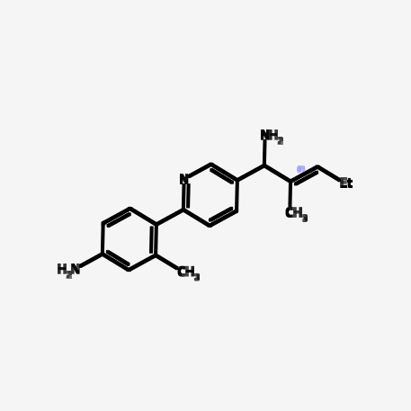 CC/C=C(\C)C(N)c1ccc(-c2ccc(N)cc2C)nc1